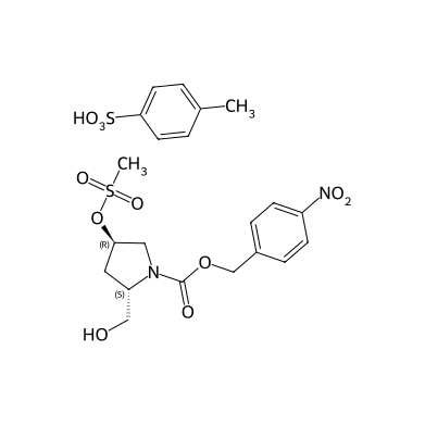 CS(=O)(=O)O[C@@H]1C[C@@H](CO)N(C(=O)OCc2ccc([N+](=O)[O-])cc2)C1.Cc1ccc(S(=O)(=O)O)cc1